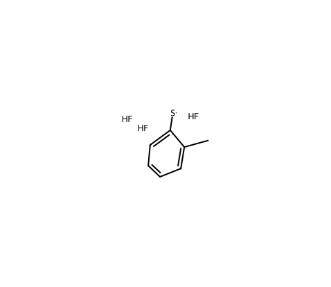 Cc1ccccc1[S].F.F.F